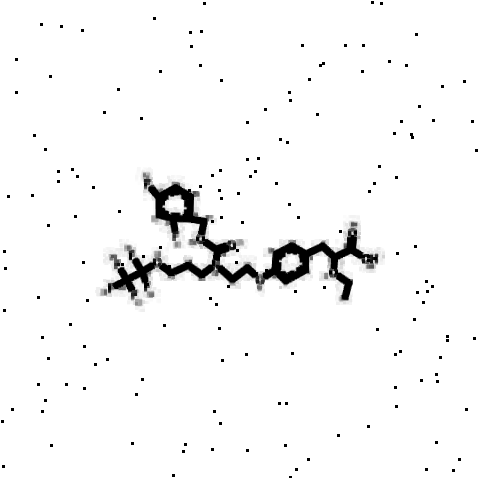 CCOC(Cc1ccc(OCCN(CCCOC(F)(F)C(F)(F)F)C(=O)OCc2ccc(F)cc2F)cc1)C(=O)O